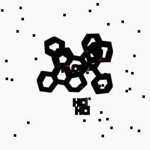 Cl.Cl.[CH2]=[Zr]([C]1=CC=CC1)([CH]1CCCC2C1=C1Cc3ccccc3C1=C1C=CCCC12)([CH](c1ccccc1)c1ccccc1)[CH](c1ccccc1)c1ccccc1